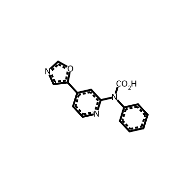 O=C(O)N(c1ccccc1)c1cc(-c2cnco2)ccn1